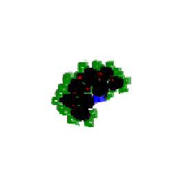 Clc1c(Cl)c(Cl)c(-c2cc(Nc3cc(-c4c(Cl)c(Cl)c(Cl)c(Cl)c4Cl)c(-c4c(Cl)c(Cl)c(Cl)c(Cl)c4Cl)c(-c4c(Cl)c(Cl)c(Cl)c(Cl)c4Cl)c3)cc(-c3c(Cl)c(Cl)c(Cl)c(Cl)c3Cl)c2-c2c(Cl)c(Cl)c(Cl)c(Cl)c2Cl)c(Cl)c1Cl